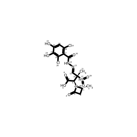 C[C@@H]1CC(=O)N1[C@@H](C(=O)O)[C@](C)(/C=N/NC(=O)c1c(Cl)cc(O)c(O)c1Cl)[SH](=O)=O